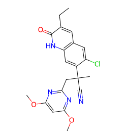 CCc1cc2cc(Cl)c(C(C)(C#N)Cc3nc(OC)cc(OC)n3)cc2[nH]c1=O